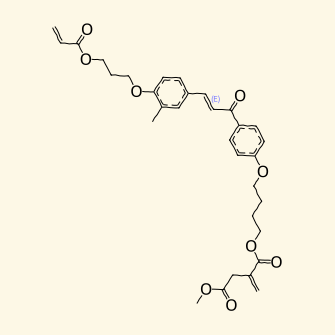 C=CC(=O)OCCCOc1ccc(/C=C/C(=O)c2ccc(OCCCCOC(=O)C(=C)CC(=O)OC)cc2)cc1C